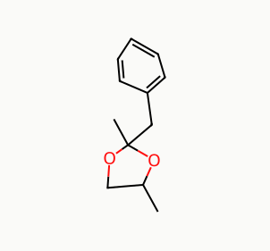 CC1COC(C)(Cc2ccccc2)O1